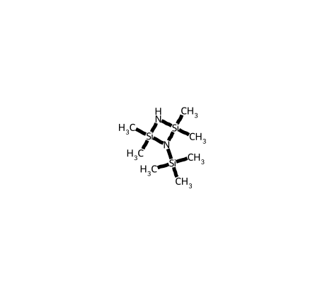 C[Si](C)(C)N1[Si](C)(C)N[Si]1(C)C